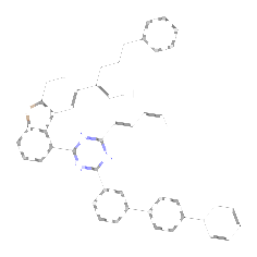 C/C=C\C=C\c1nc(-c2cccc(-c3ccc(C4C=CC=CC4)cc3)c2)nc(-c2cccc3sc4c(c23)C=C(/C(=C/C)CCCc2ccccc2)CC4)n1